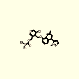 CCN(CC)C(=O)OCc1cncc(Cl)c1COc1cccc2c(-c3ccnn3C)cc(C)nc12